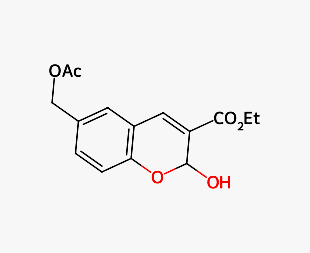 CCOC(=O)C1=Cc2cc(COC(C)=O)ccc2OC1O